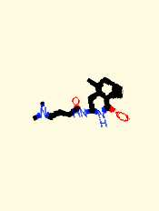 Cc1cccc2c(=O)[nH]c(NC(=O)CCCN(C)C)cc12